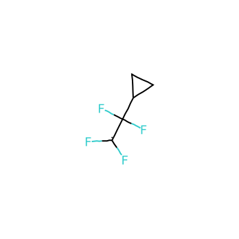 F[C](F)C(F)(F)C1CC1